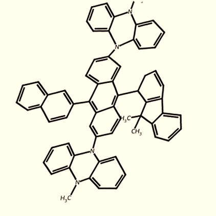 CN1c2ccccc2N(c2ccc3c(C4CC=CC5=C4C(C)(C)c4ccccc45)c4cc(N5c6ccccc6N(C)c6ccccc65)ccc4c(-c4ccc5ccccc5c4)c3c2)c2ccccc21